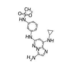 CS(=O)(=O)Nc1cccc(Nc2cc(NC3CC3)c3ncc(N)n3n2)c1